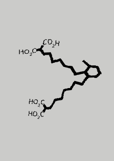 CC1CCCC(CCCCCCCC(C(=O)O)C(=O)O)C1CCCCCCCC(C(=O)O)C(=O)O